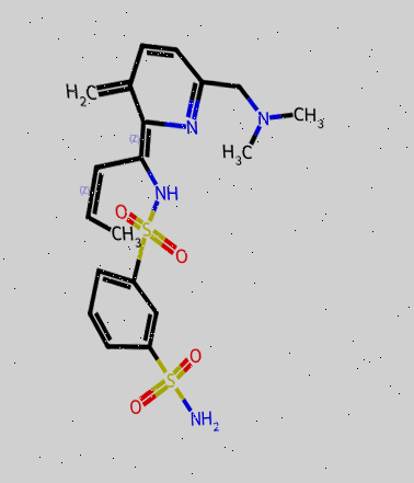 C=c1ccc(CN(C)C)n/c1=C(/C=C\C)NS(=O)(=O)c1cccc(S(N)(=O)=O)c1